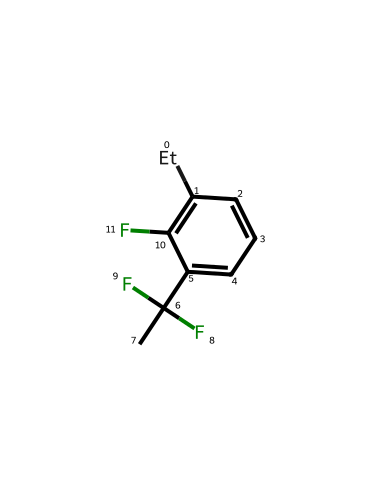 CCc1cccc(C(C)(F)F)c1F